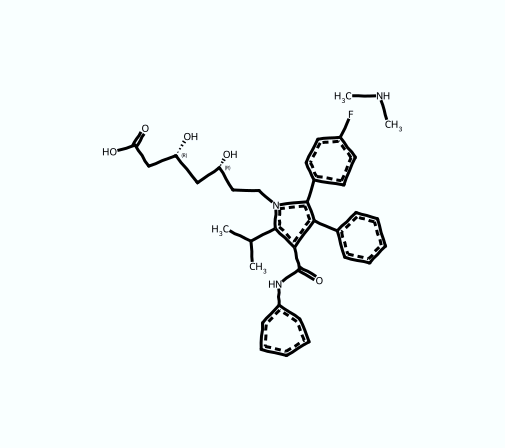 CC(C)c1c(C(=O)Nc2ccccc2)c(-c2ccccc2)c(-c2ccc(F)cc2)n1CC[C@@H](O)C[C@@H](O)CC(=O)O.CNC